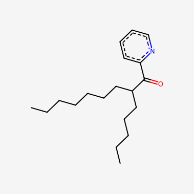 CCCCCCCC(CCCCC)C(=O)c1ccccn1